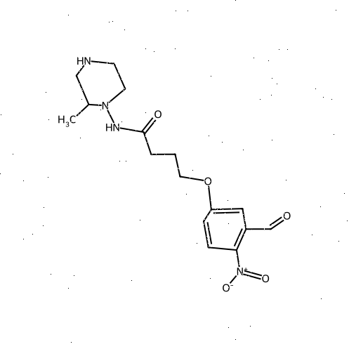 CC1CNCCN1NC(=O)CCCOc1ccc([N+](=O)[O-])c(C=O)c1